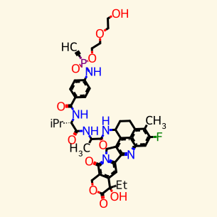 C#CP(=O)(Nc1ccc(C(=O)N[C@H](C(=O)NC(C)C(=O)NC2CCc3c(C)c(F)cc4nc5c(c2c34)Cn2c-5cc3c(c2=O)COC(=O)C3(O)CC)C(C)C)cc1)OCCOCCO